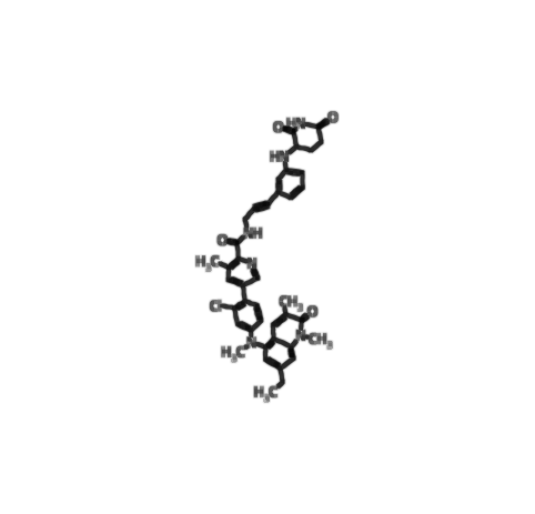 CCc1cc(N(C)c2ccc(-c3cnc(C(=O)NCC#Cc4cccc(NC5CCC(=O)NC5=O)c4)c(C)c3)c(Cl)c2)c2cc(C)c(=O)n(C)c2c1